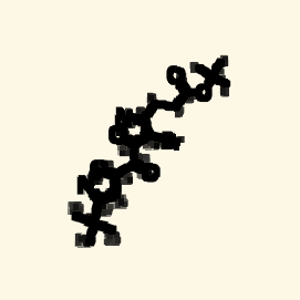 CC(C)(C)OC(=O)CCc1noc(C(=O)c2cc(C(C)(C)C)no2)c1Br